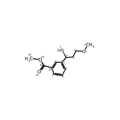 COCCC(O)c1cccc(C(=O)OC)c1